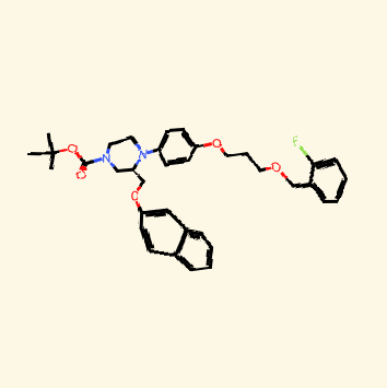 CC(C)(C)OC(=O)N1CCN(c2ccc(OCCCOCc3ccccc3F)cc2)[C@@H](COc2ccc3ccccc3c2)C1